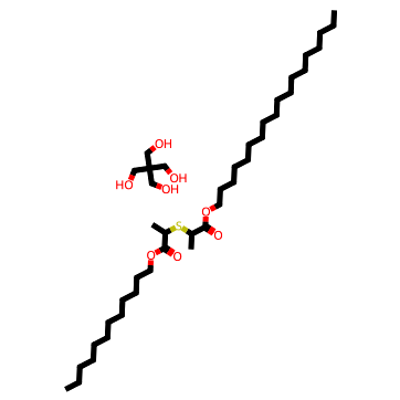 CCCCCCCCCCCCCCCCCCOC(=O)C(C)SC(C)C(=O)OCCCCCCCCCCCC.OCC(CO)(CO)CO